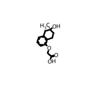 C[C@]1(O)CCc2c(cccc2OCC(=O)O)C1